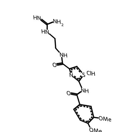 COc1ccc(C(=O)Nc2nc(C(=O)NCCNC(=N)N)cs2)cc1OC.Cl